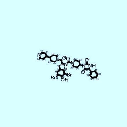 O=C(N[C@@H](Cc1cc(Br)c(O)c(Br)c1)C(=O)N1CCC(c2ccncc2)CC1)N1CCC(N2C(=O)NC(c3ccccc3)C2=O)CC1